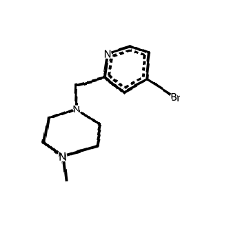 CN1CCN(Cc2cc(Br)ccn2)CC1